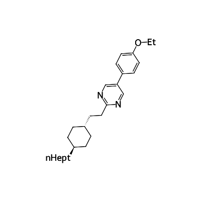 CCCCCCC[C@H]1CC[C@H](CCc2ncc(-c3ccc(OCC)cc3)cn2)CC1